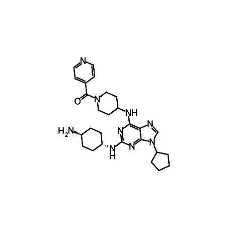 N[C@H]1CC[C@H](Nc2nc(NC3CCN(C(=O)c4ccncc4)CC3)c3ncn(C4CCCC4)c3n2)CC1